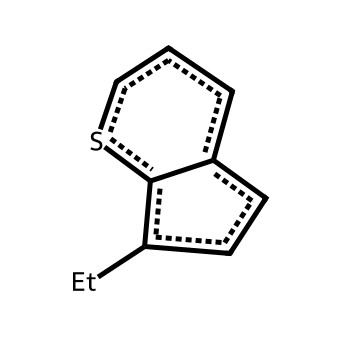 [CH2]Cc1ccc2cccsc1-2